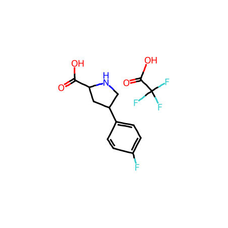 O=C(O)C(F)(F)F.O=C(O)C1CC(c2ccc(F)cc2)CN1